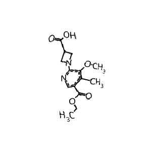 CCOC(=O)c1cnc(N2CC(C(=O)O)C2)c(OC)c1C